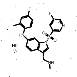 CNCc1cn(S(=O)(=O)c2cncc(F)c2)c2cc(Nc3ccc(F)cc3C)ccc12.Cl